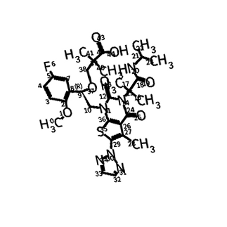 COc1ccc(F)cc1[C@H](Cn1c(=O)n(C(C)(C)C(=O)NC(C)C)c(=O)c2c(C)c(-n3nccn3)sc21)OCC(C)(C)C(=O)O